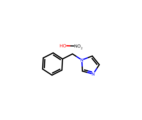 O=[N+]([O-])O.c1ccc(Cn2ccnc2)cc1